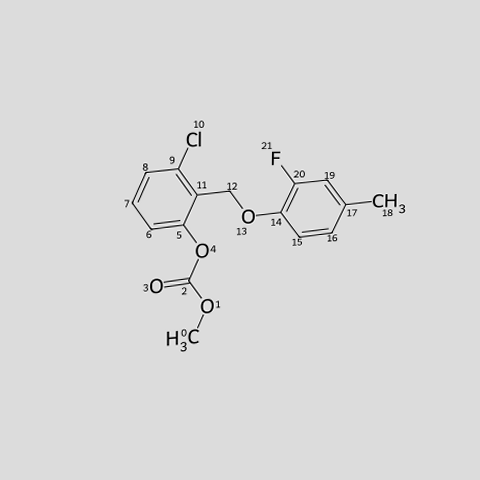 COC(=O)Oc1cccc(Cl)c1COc1ccc(C)cc1F